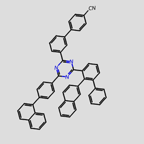 N#Cc1ccc(-c2cccc(-c3nc(-c4ccc(-c5cccc6ccccc56)cc4)nc(-c4cccc(-c5ccccc5)c4-c4ccc5ccccc5c4)n3)c2)cc1